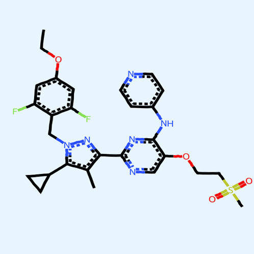 CCOc1cc(F)c(Cn2nc(-c3ncc(OCCS(C)(=O)=O)c(Nc4ccncc4)n3)c(C)c2C2CC2)c(F)c1